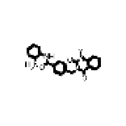 Nc1ccccc1NC(=O)c1ccc(Cn2c(=O)c3ccccc3[n]([Y])c2=O)cc1